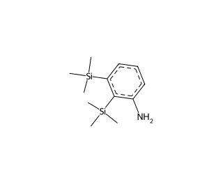 C[Si](C)(C)c1cccc(N)c1[Si](C)(C)C